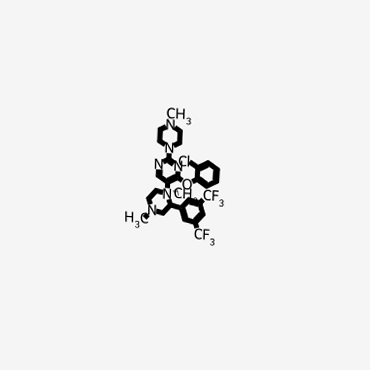 CN1CCN(c2ncc([N+]3(C)CCN(C)CC3c3cc(C(F)(F)F)cc(C(F)(F)F)c3)c(Oc3ccccc3Cl)n2)CC1